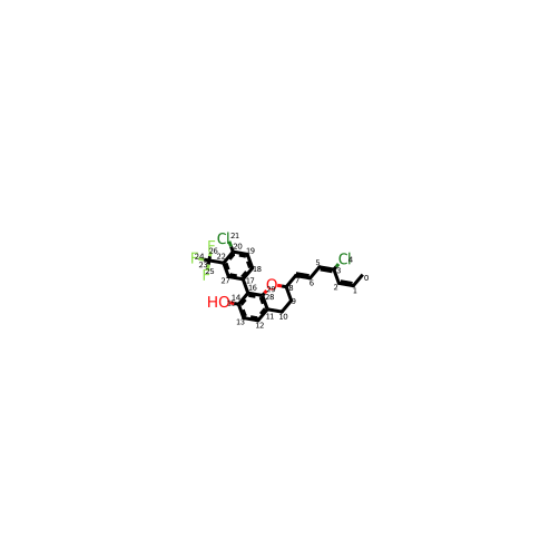 C\C=C/C(Cl)=C\C=C\C1CCc2ccc(O)c(-c3ccc(Cl)c(C(F)(F)F)c3)c2O1